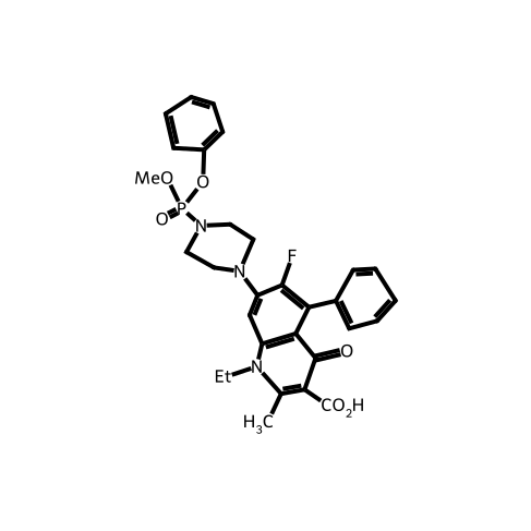 CCn1c(C)c(C(=O)O)c(=O)c2c(-c3ccccc3)c(F)c(N3CCN(P(=O)(OC)Oc4ccccc4)CC3)cc21